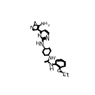 CCOC1=C(NC(C)N[C@H]2CC[C@H](Nc3nccc(-c4cnn(C)c4N)n3)CC2)C=CCC1